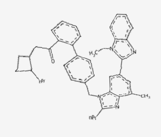 CCCc1nc2c(C)cc(-c3nc4ccccc4n3C)cc2n1Cc1ccc(-c2ccccc2C(=O)CC2CCC2CCC)cc1